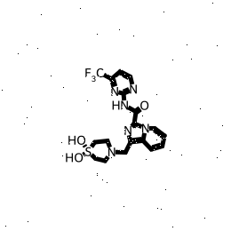 O=C(Nc1nccc(C(F)(F)F)n1)c1nc(CN2CCS(O)(O)CC2)c2ccccn12